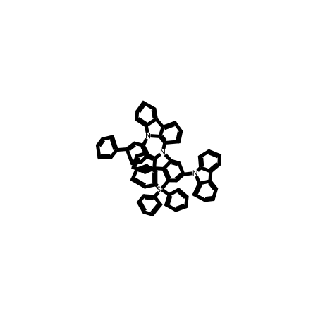 c1ccc(-c2cccc(-n3c4ccccc4c4cccc(-n5c6ccccc6c6c([Si](c7ccccc7)(c7ccccc7)c7ccccc7)cc(-n7c8ccccc8c8ccccc87)cc65)c43)c2)cc1